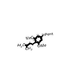 CCCCCc1cc(OC)c(CC=C(C)C)c(OC)c1